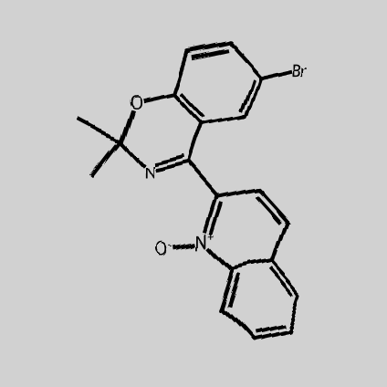 CC1(C)N=C(c2ccc3ccccc3[n+]2[O-])c2cc(Br)ccc2O1